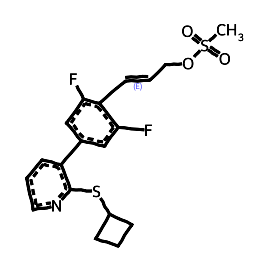 CS(=O)(=O)OC/C=C/c1c(F)cc(-c2cccnc2SC2CCC2)cc1F